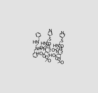 CC(=O)OCC1=C(C(=O)O)N2C(=O)[C@@H](NC(=O)CSc3ccncc3)[C@H]2SC1.CC(=O)OCC1=C(C(=O)O)N2C(=O)[C@@H](NC(=O)CSc3ccncc3)[C@H]2SC1.c1ccc(CNCCNCc2ccccc2)cc1